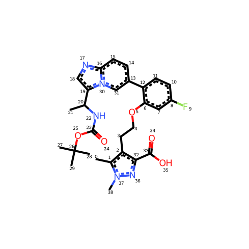 Cc1c(CCOc2cc(F)ccc2-c2ccc3ncc(C(C)NC(=O)OC(C)(C)C)n3c2)c(C(=O)O)nn1C